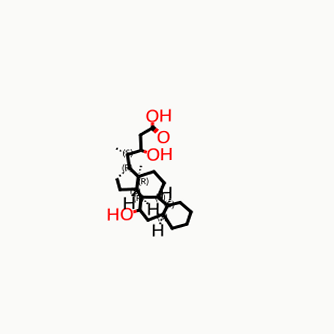 C[C@H](C(O)CC(=O)O)[C@H]1CC[C@H]2[C@@H]3C(O)C[C@@H]4CCCC[C@]4(C)[C@H]3CC[C@]12C